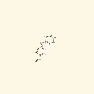 O=Cc1ccc(Cc2ccccc2)cc1